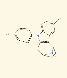 CC1C=c2c3c(n(-c4ccc(Cl)cc4)c2=CC1)CC1CCC3N1C